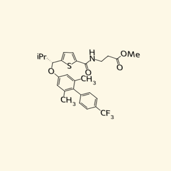 COC(=O)CCNC(=O)c1ccc([C@H](Oc2cc(C)c(-c3ccc(C(F)(F)F)cc3)c(C)c2)C(C)C)s1